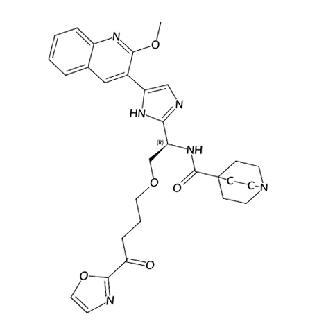 COc1nc2ccccc2cc1-c1cnc([C@H](COCCCC(=O)c2ncco2)NC(=O)C23CCN(CC2)CC3)[nH]1